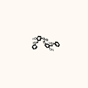 O=[PH](Oc1ccc(O)c(CNc2ccccc2)c1)Oc1ccc(O)c(CNc2ccccc2)c1